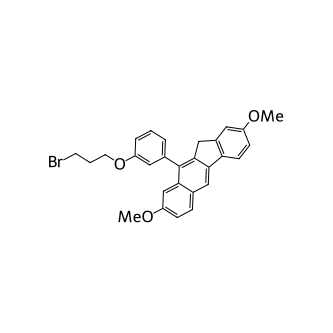 COc1ccc2c(c1)Cc1c-2cc2ccc(OC)cc2c1-c1cccc(OCCCBr)c1